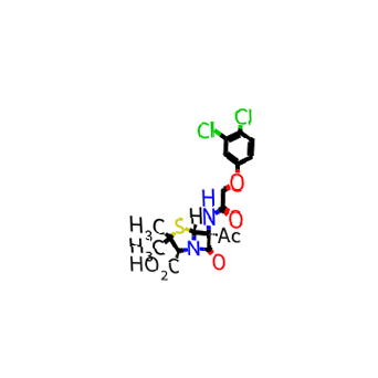 CC(=O)[C@]1(NC(=O)COc2ccc(Cl)c(Cl)c2)C(=O)N2[C@@H](C(=O)O)C(C)(C)S[C@@H]21